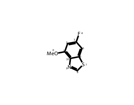 COc1cc(F)cc2scnc12